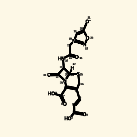 O=C(O)C=CC1=C(C(=O)O)N2C(=O)C(NC(=O)C[n+]3cc([O-])on3)[C@@H]2SC1